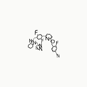 N#Cc1ccc(COc2cccc(-c3cc(F)c(Cc4nc5ccccc5n4Cc4nncs4)cc3F)n2)c(F)c1